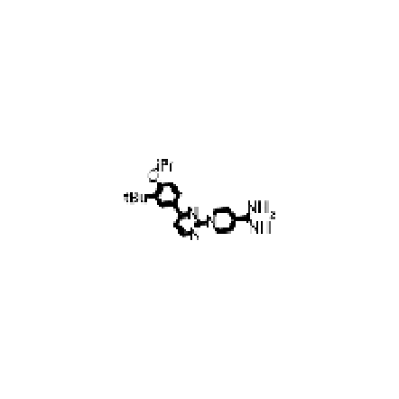 CC(C)Oc1ccc(-c2ccnc(N3CCC(C(=N)N)CC3)n2)cc1C(C)(C)C